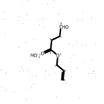 C=CCOC(=O)CCC=O.Cl